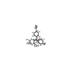 COC[C@@]1(O)CN[C@@H](C)CN1C(c1ccc(F)cc1)c1ccc(C#N)cc1